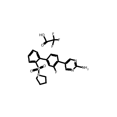 Nc1ncc(-c2ccc(-c3ccccc3S(=O)(=O)N3CCCC3)cc2F)cn1.O=C(O)C(F)(F)F